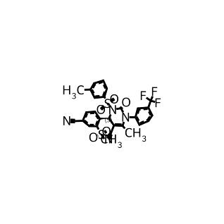 CC1=C(C#N)[C@@H](c2ccc(C#N)cc2S(C)(=O)=O)N(S(=O)(=O)c2cccc(C)c2)C(=O)N1c1cccc(C(F)(F)F)c1